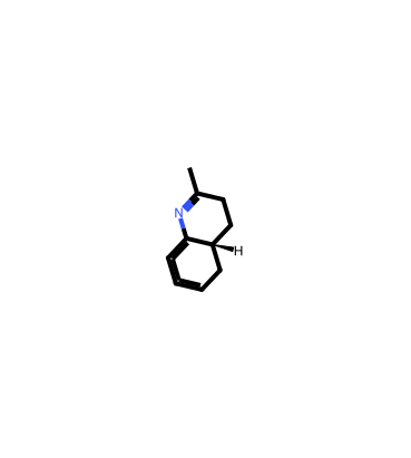 CC1=NC2=C=C=CC[C@H]2CC1